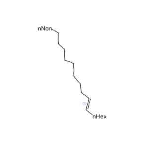 [CH2]CCCCC/C=C/CCCCCCCCCCCCCCCC[CH2]